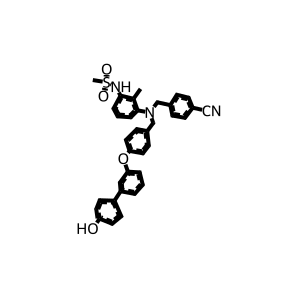 Cc1c(NS(C)(=O)=O)cccc1N(Cc1ccc(C#N)cc1)Cc1ccc(Oc2cccc(-c3ccc(O)cc3)c2)cc1